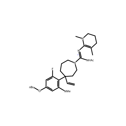 C=CC1(c2c(F)cc(OCCCC)cc2NC)CCCN(/C(=N/C2=C(C)CCCN2C)NC(C)=O)CC1